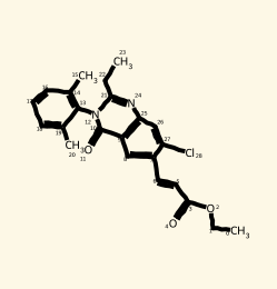 CCOC(=O)/C=C/c1cc2c(=O)n(-c3c(C)cccc3C)c(CC)nc2cc1Cl